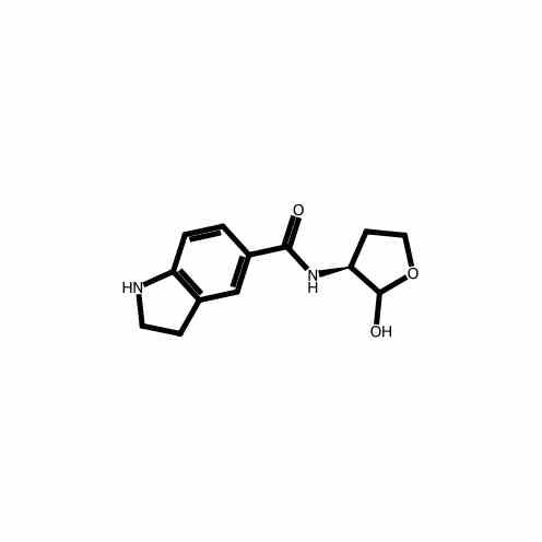 O=C(N[C@H]1CCOC1O)c1ccc2c(c1)CCN2